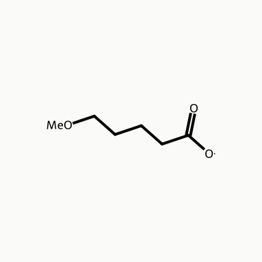 COCCCCC([O])=O